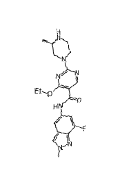 CCOc1nc(N2CCN[C@H](C)C2)ncc1C(=O)Nc1cc(F)c2nn(C)cc2c1